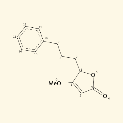 COC1=CC(=O)OC1CCCc1ccccc1